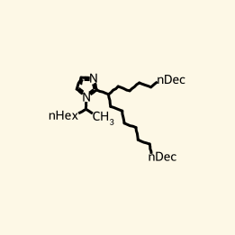 CCCCCCCCCCCCCCCCC(CCCCCCCCCCCCCC)c1nccn1C(C)CCCCCC